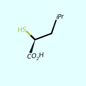 CC(C)C[C@H](S)C(=O)O